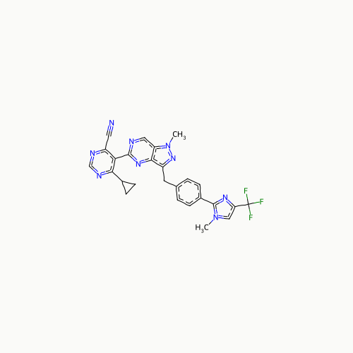 Cn1cc(C(F)(F)F)nc1-c1ccc(Cc2nn(C)c3cnc(-c4c(C#N)ncnc4C4CC4)nc23)cc1